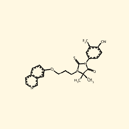 CC1(C)C(=O)N(c2ccc(C#N)c(C(F)(F)F)c2)C(=S)N1CCCOc1ccc2ccncc2c1